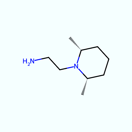 C[C@@H]1CCC[C@H](C)N1CCN